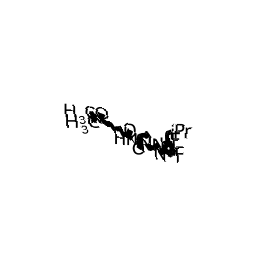 CC(C)Cc1c(F)c(F)cc2nc(Cn3cccc(NC(=O)CCC/C=C/C(=O)N(C)C)c3=O)[nH]c12